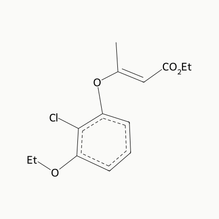 CCOC(=O)C=C(C)Oc1cccc(OCC)c1Cl